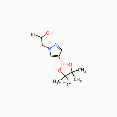 CCC(O)Cn1cc(B2OC(C)(C)C(C)(C)O2)cn1